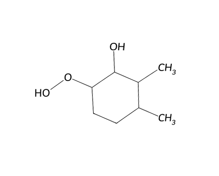 CC1CCC(OO)C(O)C1C